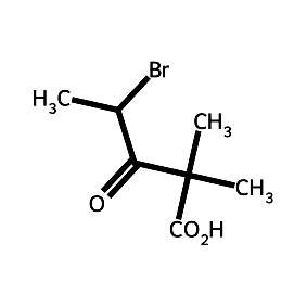 CC(Br)C(=O)C(C)(C)C(=O)O